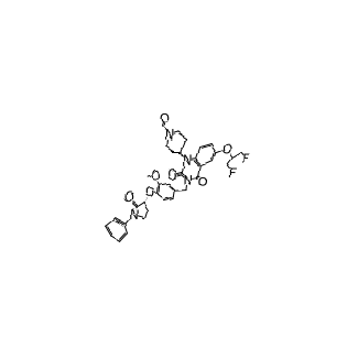 COc1cc(Cn2c(=O)c3cc(OC(CF)CF)ccc3n(C3CCN(C=O)CC3)c2=O)ccc1O[C@@H]1CCN(c2ccccc2)C1=O